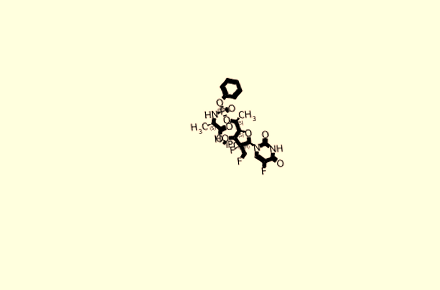 CC(C)OC(=O)[C@H](C)N[P@](=O)(Oc1ccccc1)O[C@@H](C)[C@H]1O[C@@H](n2cc(F)c(=O)[nH]c2=O)[C@@](F)(CF)C1O